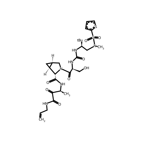 C=CCNC(=O)C(=O)[C@H](C)NC(=O)[C@@H]1[C@H]2C[C@H]2CN1C(=O)[C@H](CO)NC(=O)N[C@H](CN(C)S(=O)(=O)c1cccs1)C(C)(C)C